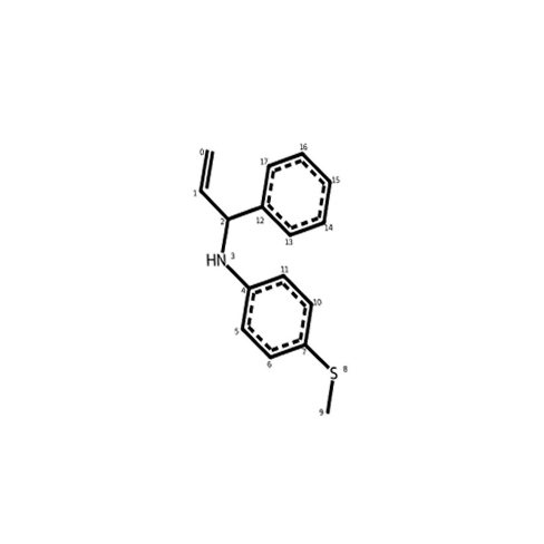 C=CC(Nc1ccc(SC)cc1)c1ccccc1